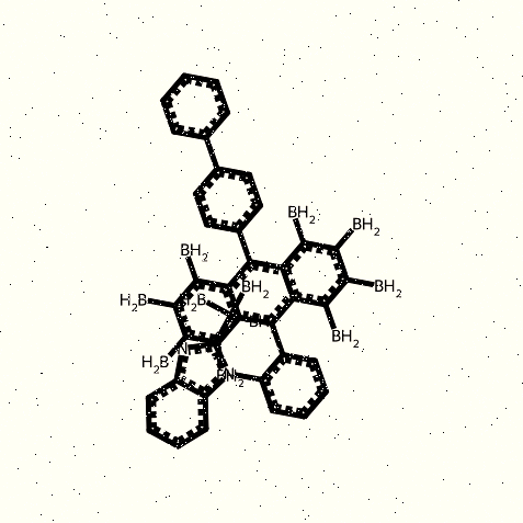 Bc1c(B)c(B)c2c(-c3ccccc3-n3c(C(B)(B)B)nc4ccccc43)c3c(B)c(B)c(B)c(B)c3c(-c3ccc(-c4ccccc4)cc3)c2c1B